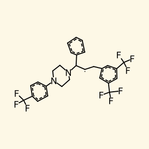 FC(F)(F)c1ccc(N2CCN(C([CH]Cc3cc(C(F)(F)F)cc(C(F)(F)F)c3)c3ccccc3)CC2)cc1